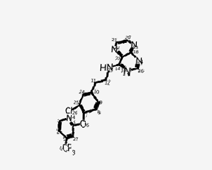 FC(F)(F)c1ccnc(Oc2ccc(CCNc3ncnc4nccnc34)cc2Cl)c1